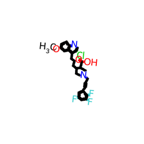 COc1ccc2ncc(Cl)c(CCCC3CCN(CC#Cc4cc(F)cc(F)c4F)CC3C(=O)O)c2c1